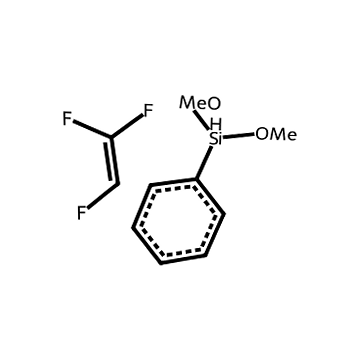 CO[SiH](OC)c1ccccc1.FC=C(F)F